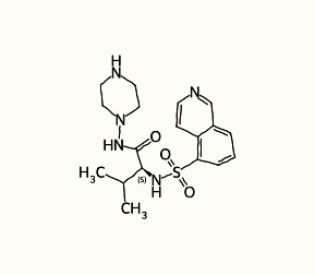 CC(C)[C@H](NS(=O)(=O)c1cccc2cnccc12)C(=O)NN1CCNCC1